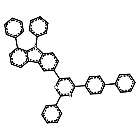 c1ccc(-c2ccc(-c3cc(-c4ccc5c(c4)c4cccc(-c6ccccc6)c4n5-c4ccccc4)nc(-c4ccccc4)n3)cc2)cc1